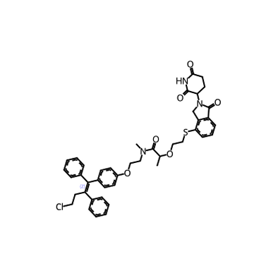 CC(OCCSc1cccc2c1CN(C1CCC(=O)NC1=O)C2=O)C(=O)N(C)CCOc1ccc(/C(=C(/CCCl)c2ccccc2)c2ccccc2)cc1